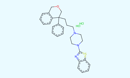 Cl.Cl.c1ccc(C2(CCCN3CCN(c4nc5ccccc5s4)CC3)COCc3ccccc32)cc1